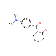 CN(C)c1ccc(C(=O)C2CCCCC2=O)cc1